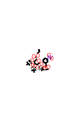 C=CCOC(=O)[C@H]1O[C@@H](Oc2ccc([N+](=O)[O-])cc2C2OCCO2)[C@H](O[Si](C)(C)C(C)(C)C)[C@@H](O[Si](C)(C)C(C)(C)C)[C@H]1O[Si](C)(C)C(C)(C)C